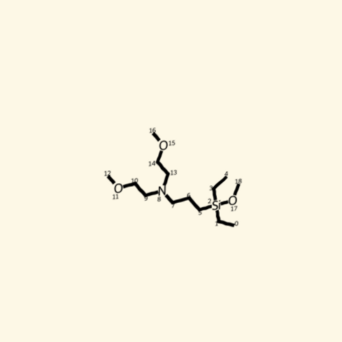 CC[Si](CC)(CCCN(CCOC)CCOC)OC